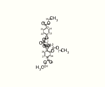 CCOC(=O)CNCP(=O)(OOc1ccc(C(=O)OCC)cc1)OOc1ccc(C(=O)OCC)cc1